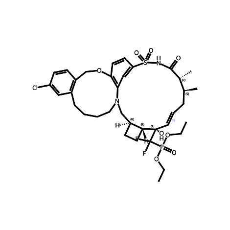 CCOP(=O)(OCC)C(F)(F)[C@]1(O)/C=C/C[C@H](C)[C@@H](C)C(=O)NS(=O)(=O)c2ccc3c(c2)N(CCCCc2cc(Cl)ccc2CO3)C[C@@H]2CC[C@H]21